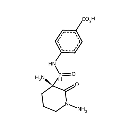 NN1CCC[C@](N)([PH](=O)Nc2ccc(C(=O)O)cc2)C1=O